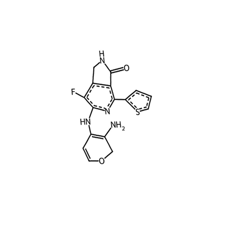 NC1=C(Nc2nc(-c3cccs3)c3c(c2F)CNC3=O)C=COC1